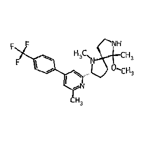 COC1(C)NCC[C@]12CC[C@H](c1cc(-c3ccc(C(F)(F)F)cc3)cc(C)n1)N2C